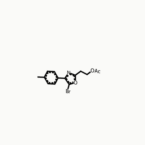 CC(=O)OCCc1nc(-c2ccc(C)cc2)c(Br)o1